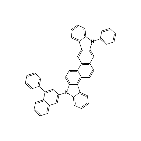 c1ccc(-c2cc(-n3c4ccccc4c4c5ccc6cc7c(cc6c5ccc43)c3ccccc3n7-c3ccccc3)cc3ccccc23)cc1